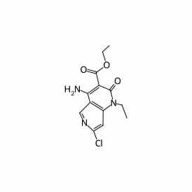 CCOC(=O)c1c(N)c2cnc(Cl)cc2n(CC)c1=O